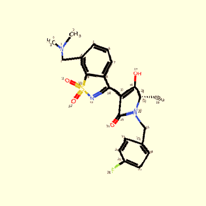 CN(C)Cc1cccc2c1S(=O)(=O)N=C2C1=C(O)[C@H](C(C)(C)C)N(Cc2ccc(F)cc2)C1=O